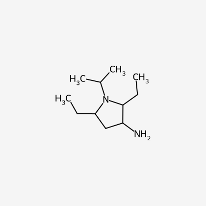 CCC1CC(N)C(CC)N1C(C)C